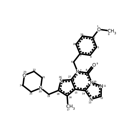 COc1ccc(Cn2c(=O)n3ncnc3c3c(C)c(CN4CCOCC4)sc32)cc1